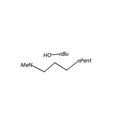 CCCCCCCCNC.CCCCO